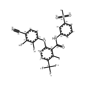 Cc1c(C(F)(F)F)nnc(Oc2ccc(C#N)c(F)c2F)c1C(=O)Nc1cccc(S(C)(=O)=O)c1